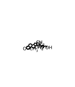 CC1CC2C3CCC4=CC(=O)C=CC4(C)C3CCC2(C)C1OC(=O)c1cc(CO)co1